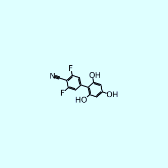 N#Cc1c(F)cc(-c2c(O)cc(O)cc2O)cc1F